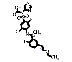 CCO/C=C/c1ccc(F)c([C@H](C)Nc2cc(F)c(S(=O)(=O)N(C(=O)O)c3cscn3)cc2Cl)c1